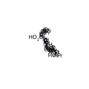 CC(C)[C@H](O)C(=O)N[C@@H](C)C(=O)N1CCC[C@@H](C(=O)N[C@H](C)c2ccc3ccc(/C=C/C4(C(=O)O)CCC(O[Si](C(C)C)(C(C)C)C(C)C)C4)cc3n2)N1